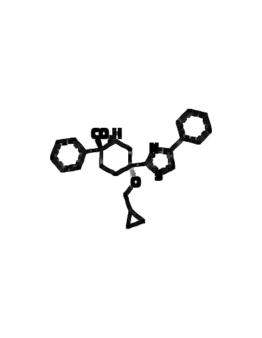 O=C(O)[C@]1(c2ccccc2)CC[C@](OCC2CC2)(c2nc(-c3ccccc3)cs2)CC1